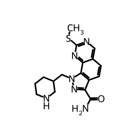 CSc1ncc2ccc3c(C(N)=O)nn(CC4CCCNC4)c3c2n1